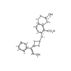 O=C(O)c1c(OC2CN(/C(=N\O)c3ccccn3)C2)ccc2c1OB(O)CC2